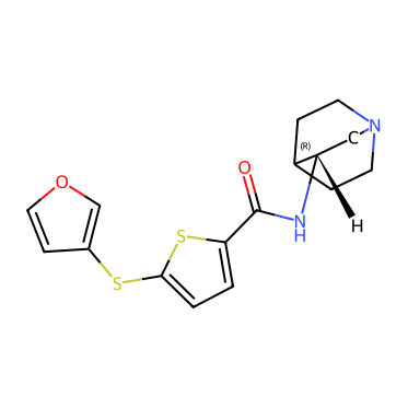 O=C(N[C@H]1CN2CCC1CC2)c1ccc(Sc2ccoc2)s1